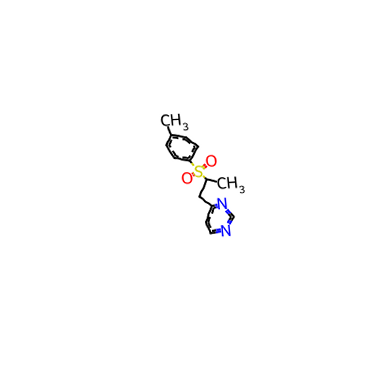 Cc1ccc(S(=O)(=O)C(C)Cc2ccncn2)cc1